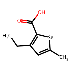 CCc1cc(C)[se]c1C(=O)O